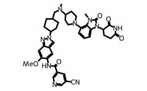 COc1cc2nn(C3CCC(CN(C)C4CCN(c5cccc6c5n(C)c(=O)n6C5CCC(=O)NC5=O)CC4)CC3)cc2cc1NC(=O)c1cncc(C#N)c1